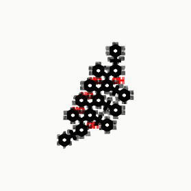 CC(C)(c1ccccc1)c1ccc(O)c(C(c2ccccc2)c2cc(C(C)(C)c3ccccc3)cc(C(c3ccccc3)c3cc(C(C)(C)c4ccccc4)cc(C(c4ccccc4)c4cc(C(C)(C)c5ccccc5)cc(C(c5ccccc5)c5cc(C(C)(C)c6ccccc6)ccc5O)c4O)c3O)c2O)c1